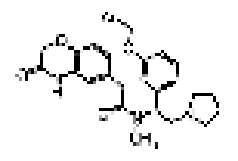 CC(=O)COc1cccc(C(CN2CCCC2)N(C)C(=O)Cc2ccc3c(c2)NC(=O)CO3)c1